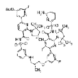 CC(C)COc1cc(F)nc(-c2ccc(C(=O)NS(=O)(=O)c3cccc(NCC(C)COc4cc(F)nc(-c5nc(N6C[C@@H](C)CC6(C)C)c(C(=O)NS(=O)(=O)c6cccc(N)n6)cc5I)c4)n3)c(N3C[C@@H](C)CC3(C)C)n2)c1